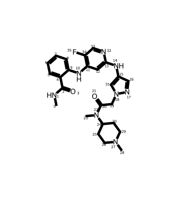 CNC(=O)c1ccccc1Nc1cc(Nc2cnn(CC(=O)N(C)C3CCN(C)CC3)c2)ncc1F